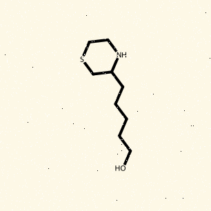 OCCCCCC1CSCCN1